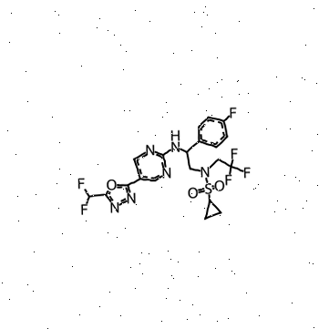 O=S(=O)(C1CC1)N(CC(Nc1ncc(-c2nnc(C(F)F)o2)cn1)c1ccc(F)cc1)CC(F)(F)F